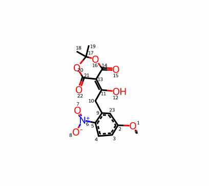 COc1ccc([N+](=O)[O-])c(CC(O)=C2C(=O)OC(C)(C)OC2=O)c1